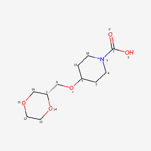 O=C(O)N1CCC(OC[C@H]2COCCO2)CC1